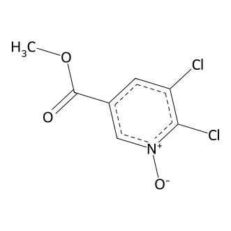 COC(=O)c1cc(Cl)c(Cl)[n+]([O-])c1